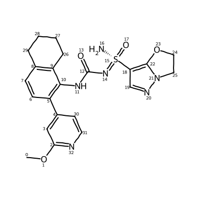 COc1cc(-c2ccc3c(c2NC(=O)N=[S@@](N)(=O)c2cnn4c2OCC4)CCCC3)ccn1